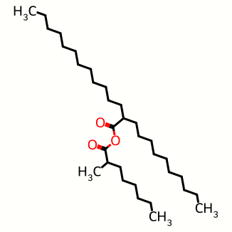 CCCCCCCCCCCCC(CCCCCCCCCC)C(=O)OC(=O)C(C)CCCCCC